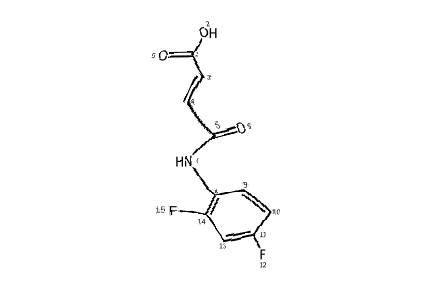 O=C(O)C=CC(=O)Nc1ccc(F)cc1F